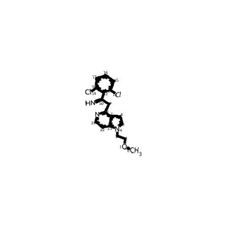 COCCn1ccc2c(CC(=N)c3c(Cl)cccc3Cl)nccc21